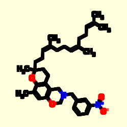 CC(C)=CCCC(C)=CCCC(C)=CCC[C@]1(C)CCc2c3c(cc(C)c2O1)OCN(Cc1cccc([N+](=O)[O-])c1)C3